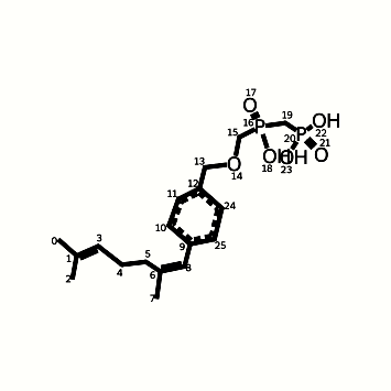 CC(C)=CCCC(C)=Cc1ccc(COCP(=O)(O)CP(=O)(O)O)cc1